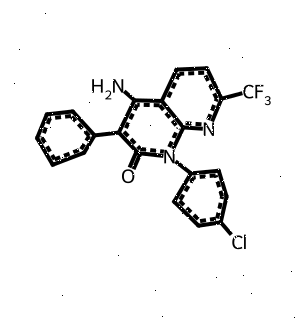 Nc1c(-c2ccccc2)c(=O)n(-c2ccc(Cl)cc2)c2nc(C(F)(F)F)ccc12